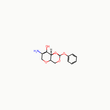 NC1COC2COC(Oc3ccccc3)O[C@H]2C1O